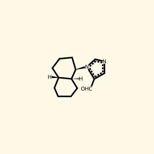 O=Cc1cncn1[C@@H]1CCC[C@H]2CCCC[C@@H]21